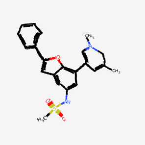 CC1=CC(c2cc(NS(C)(=O)=O)cc3cc(-c4ccccc4)oc23)=CN(C)C1